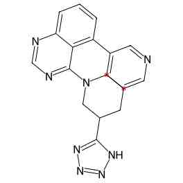 c1cncc(-c2cccc3ncnc(N4CCCC(c5nnn[nH]5)C4)c23)c1